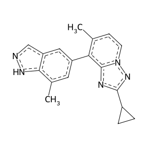 Cc1ccn2nc(C3CC3)nc2c1-c1cc(C)c2[nH]ncc2c1